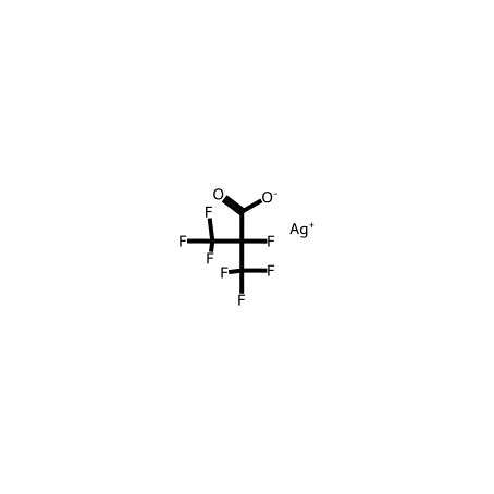 O=C([O-])C(F)(C(F)(F)F)C(F)(F)F.[Ag+]